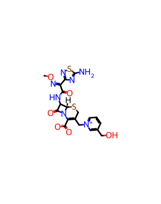 CON=C(C(=O)NC1C(=O)N2C(C(=O)[O-])=C(C[n+]3cccc(CO)c3)CS[C@@H]12)c1nsc(N)n1